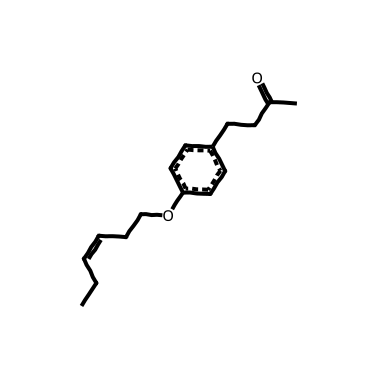 CC/C=C\CCOc1ccc(CCC(C)=O)cc1